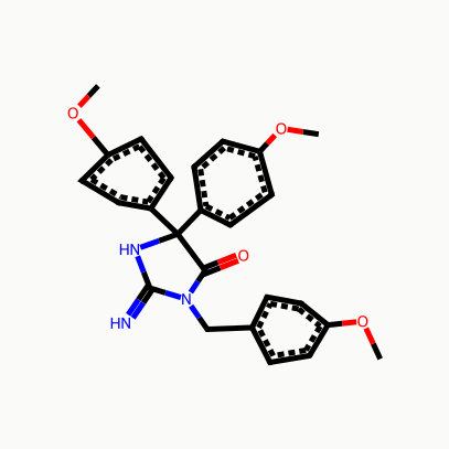 COc1ccc(CN2C(=N)NC(c3ccc(OC)cc3)(c3ccc(OC)cc3)C2=O)cc1